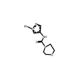 CC(C)n1cc(NC(=O)N2CCOCC2)cn1